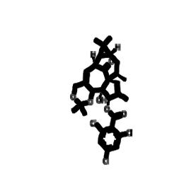 CC1=C[C@]23C(=O)[C@@H](C=C4COC(C)(C)OC4[C@]2(O)[C@H]1OC(=O)c1c(Cl)cc(Cl)cc1Cl)C1[C@@H](C[C@H]3C)C1(C)C